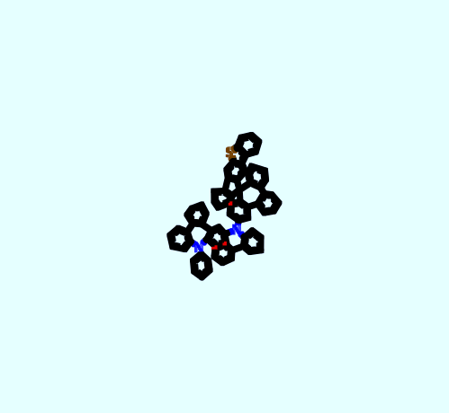 c1ccc(-c2ccccc2N(c2ccc3c(c2)-c2ccccc2-c2ccccc2N3c2ccccc2)c2ccc3c(c2)-c2ccccc2-c2ccccc2C32c3ccccc3-c3cc4sc5ccccc5c4cc32)cc1